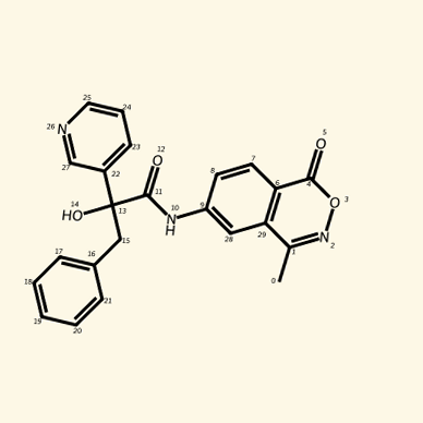 Cc1noc(=O)c2ccc(NC(=O)C(O)(Cc3ccccc3)c3cccnc3)cc12